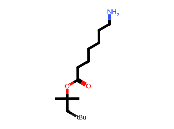 CC(C)(C)CC(C)(C)OC(=O)CCCCCCN